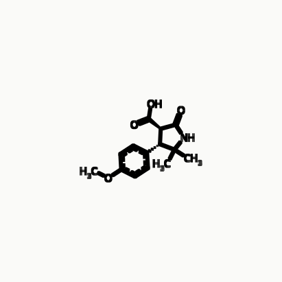 COc1ccc([C@@H]2[C@@H](C(=O)O)C(=O)NC2(C)C)cc1